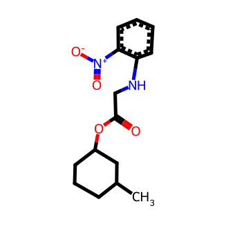 CC1CCCC(OC(=O)CNc2ccccc2[N+](=O)[O-])C1